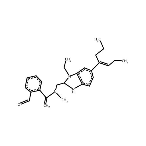 C=C(c1ccccc1C=O)N(C)CC1Nc2ccc(/C(=C/CC)CCC)cc2N1CC